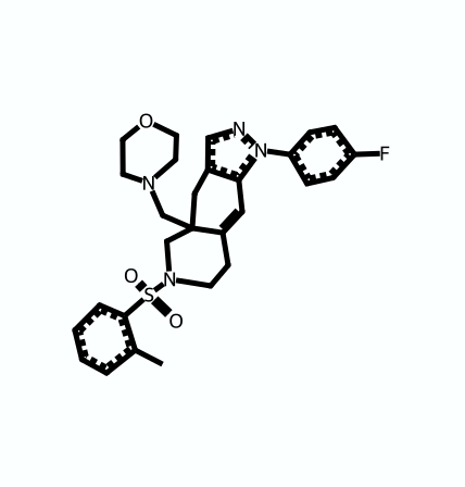 Cc1ccccc1S(=O)(=O)N1CCC2=Cc3c(cnn3-c3ccc(F)cc3)CC2(CN2CCOCC2)C1